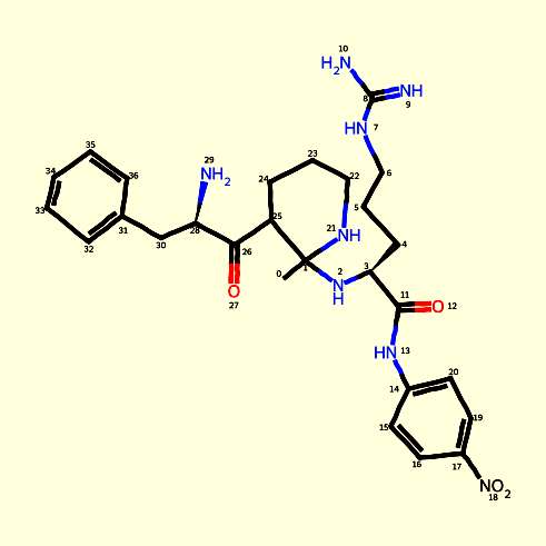 CC1(N[C@@H](CCCNC(=N)N)C(=O)Nc2ccc([N+](=O)[O-])cc2)NCCCC1C(=O)[C@H](N)Cc1ccccc1